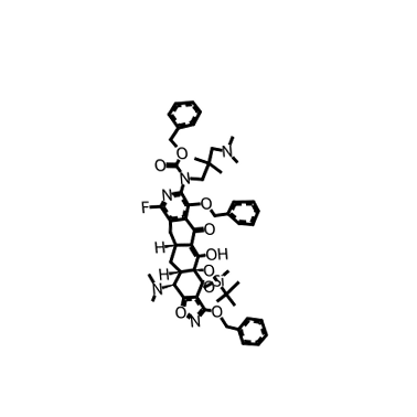 CN(C)CC(C)(C)CN(C(=O)OCc1ccccc1)c1nc(F)c2c(c1OCc1ccccc1)C(=O)C1=C(O)[C@]3(O[Si](C)(C)C(C)(C)C)C(=O)c4c(OCc5ccccc5)noc4[C@@H](N(C)C)[C@@H]3C[C@@H]1C2